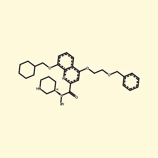 CC(C)N(C(=O)c1cc(OCCOCc2ccccc2)c2cccc(OCC3CCCCC3)c2n1)[C@@H]1CCCNC1